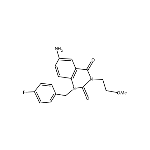 COCCn1c(=O)c2cc(N)ccc2n(Cc2ccc(F)cc2)c1=O